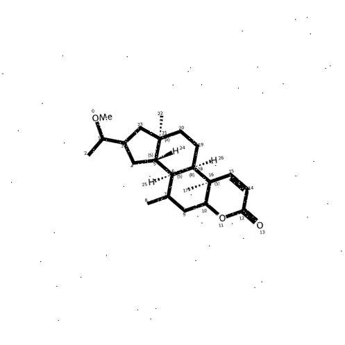 COC(C)C1C[C@H]2[C@@H]3C(C)CC4OC(=O)C=C[C@]4(C)[C@@H]3CC[C@]2(C)C1